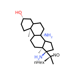 CCCCCC[C@](C)(N=O)[C@@]1(N)CCC2[C@]3(N)CCC4C[C@@H](O)CC[C@]4(C)C3CC[C@@]21C